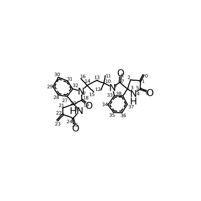 C=C1CC2(NC1=O)C(=O)N(C(C)(C)CC(C)(C)N1C(=O)C3(CC(=C)C(=O)N3)c3ccccc31)c1ccccc12